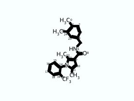 Cc1ccc(CNC(=O)c2cc(C)n(-c3ccccc3C(F)(F)F)c2C)cc1C